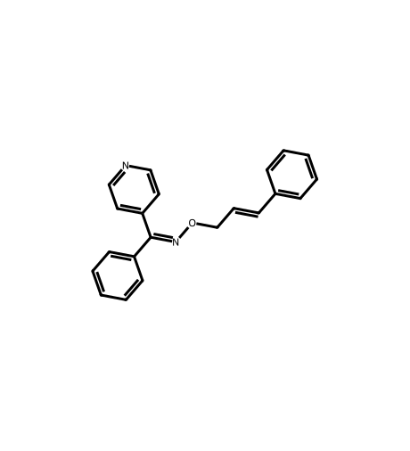 C(=Cc1ccccc1)CON=C(c1ccccc1)c1ccncc1